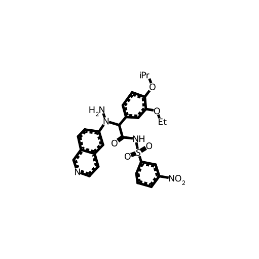 CCOc1cc(C(C(=O)NS(=O)(=O)c2cccc([N+](=O)[O-])c2)N(N)c2ccc3cnccc3c2)ccc1OC(C)C